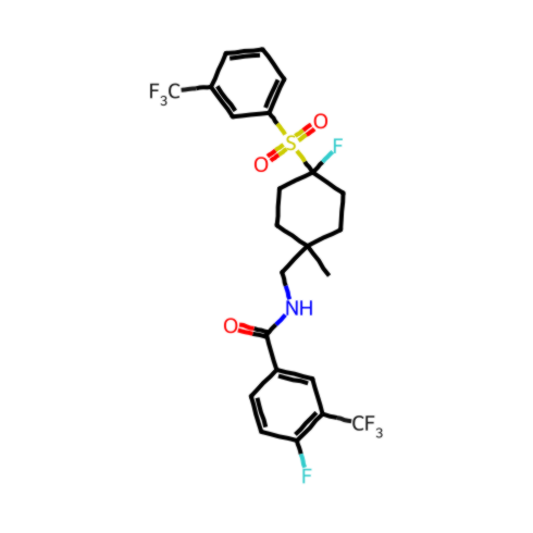 CC1(CNC(=O)c2ccc(F)c(C(F)(F)F)c2)CCC(F)(S(=O)(=O)c2cccc(C(F)(F)F)c2)CC1